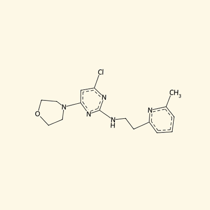 Cc1cccc(CCNc2nc(Cl)cc(N3CCOCC3)n2)n1